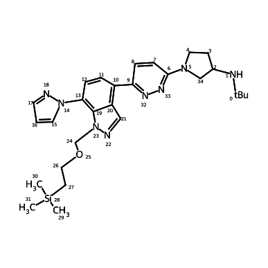 CC(C)(C)NC1CCN(c2ccc(-c3ccc(-n4cccn4)c4c3cnn4COCC[Si](C)(C)C)nn2)C1